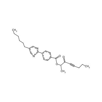 CCCC#CC(=O)C(C)OC(=O)c1ccc(-c2ncc(CCCCCC)cn2)cc1